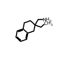 CCC1(CN)CCc2ccccc2C1